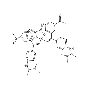 CC(=O)c1cccc(/C(=C\C2(/C=C(/c3ccc(NC(C)N(C)C)cc3)c3cccc(C(C)=O)c3)OC(=O)c3ccccc32)c2ccc(NC(C)N(C)C)cc2)c1